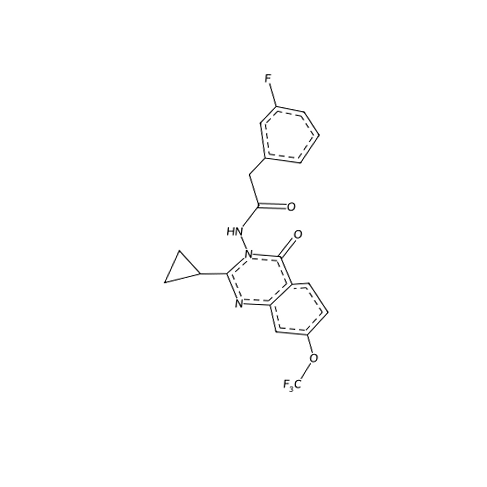 O=C(Cc1cccc(F)c1)Nn1c(C2CC2)nc2cc(OC(F)(F)F)ccc2c1=O